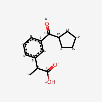 CC(C(=O)O)c1cccc(C(=O)C2CCCC2)c1